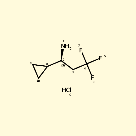 Cl.N[C@@H](CC(F)(F)F)C1CC1